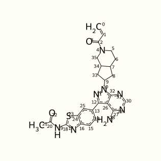 C=CC(=O)N1CCC2CC(n3nc(-c4ccc5nc(NC(C)=O)sc5c4)c4c(N)ncnc43)CC2C1